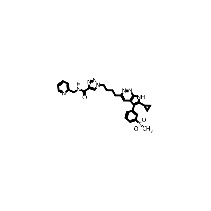 CS(=O)(=O)c1cccc(-c2c(C3CC3)[nH]c3nnc(CCCCn4cc(C(=O)NCc5ccccn5)nn4)cc23)c1